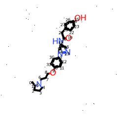 CC1CCCN1CCCOc1ccc(-n2cc(NC(=O)Cc3ccc(O)cc3)cn2)cc1